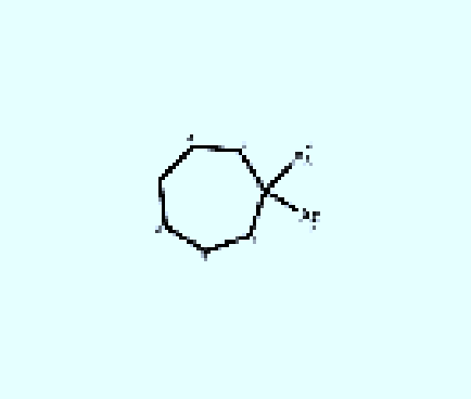 CC(=O)C1(C(C)=O)CCCCCC1